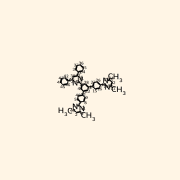 Cc1cc(C)nc(-c2ccc(-c3cc(-c4ccc(-c5nc(C)cc(C)n5)cc4)cc(-c4nc(-c5ccccc5)cc(-c5ccccc5)n4)c3)cc2)n1